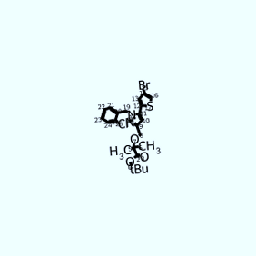 CC(C)(C)OC(=O)C(C)(C)OCc1cc(-c2cc(Br)cs2)n(Cc2ccccc2Cl)n1